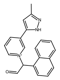 Cc1cc(-c2ccc[n+](C(C=O)c3cccc4ccccc34)c2)[nH]n1